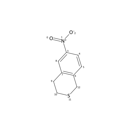 O=[N+]([O-])c1ccc2c(c1)CCSC2